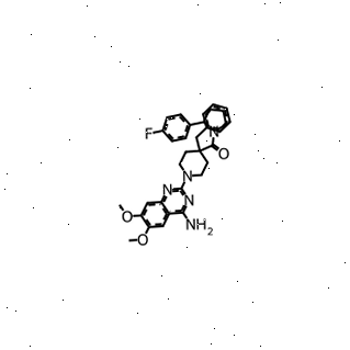 COc1cc2nc(N3CCC(Cc4ccccc4)(C(=O)N4CCCC4c4ccc(F)cc4)CC3)nc(N)c2cc1OC